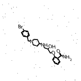 NC(=O)c1ccccc1OCC(O)CNC1CCN(Cc2ccc(Br)cc2)CC1